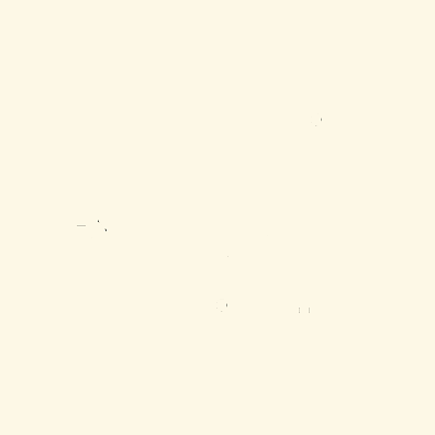 COc1ccc(OC)c(C(=O)CCN)c1